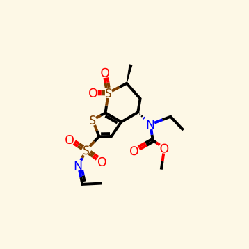 C/C=N\S(=O)(=O)c1cc2c(s1)S(=O)(=O)[C@@H](C)C[C@@H]2N(CC)C(=O)OC